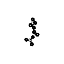 c1ccc(-c2nc(-c3ccccc3)nc(-c3ccc(-n4c5ccccc5c5cc(-c6ccc7c(c6)c6ccccc6n7-c6cccc7c6oc6ccccc67)ccc54)cc3)n2)cc1